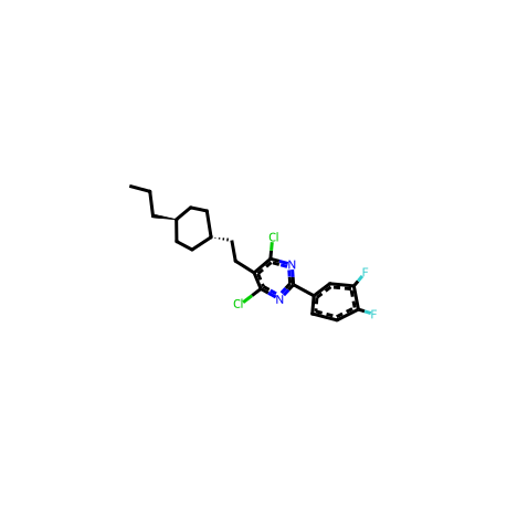 CCC[C@H]1CC[C@H](CCc2c(Cl)nc(-c3ccc(F)c(F)c3)nc2Cl)CC1